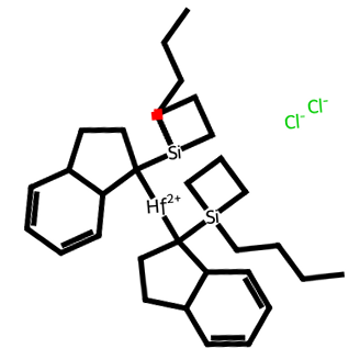 CCCC[Si]1([C]2([Hf+2][C]3([Si]4(CCCC)CCC4)CCC4C=CC=CC43)CCC3C=CC=CC32)CCC1.[Cl-].[Cl-]